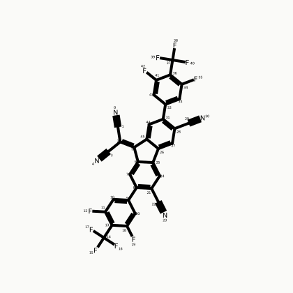 N#CC(C#N)=C1c2cc(-c3cc(F)c(C(F)(F)F)c(F)c3)c(C#N)cc2-c2cc(C#N)c(-c3cc(F)c(C(F)(F)F)c(F)c3)cc21